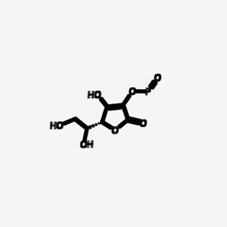 O=POC1=C(O)[C@@H](C(O)CO)OC1=O